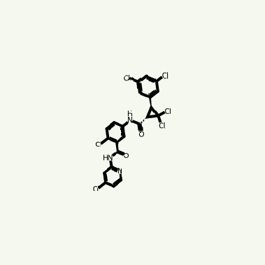 O=C(Nc1cc(Cl)ccn1)c1cc(NC(=O)[C@@H]2[C@@H](c3cc(Cl)cc(Cl)c3)C2(Cl)Cl)ccc1Cl